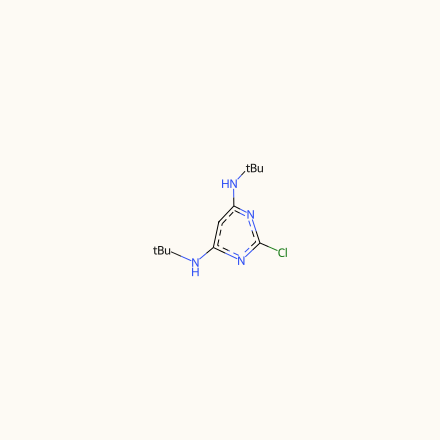 CC(C)(C)Nc1cc(NC(C)(C)C)nc(Cl)n1